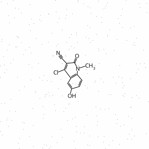 Cn1c(=O)c(C#N)c(Cl)c2cc(O)ccc21